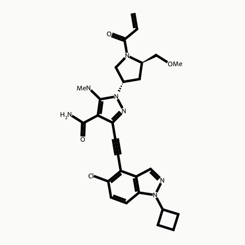 C=CC(=O)N1C[C@@H](n2nc(C#Cc3c(Cl)ccc4c3cnn4C3CCC3)c(C(N)=O)c2NC)C[C@@H]1COC